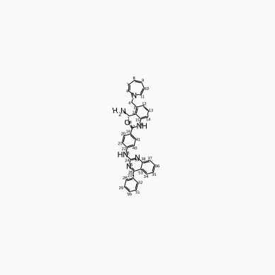 NCc1c(CN2C=CC=CC=C2)cccc1NC(=O)c1ccc(Nc2nc(-c3ccccc3)c3ccccc3n2)cc1